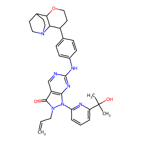 C=CCn1c(=O)c2cnc(Nc3ccc(C4CCOC5C6CCN(CC6)C45)cc3)nc2n1-c1cccc(C(C)(C)O)n1